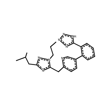 CCCn1nc(CC(C)C)nc1Cc1ccc(-c2ccccc2-c2nnn[nH]2)cn1